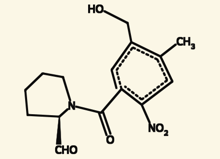 Cc1cc([N+](=O)[O-])c(C(=O)N2CCCC[C@@H]2C=O)cc1CO